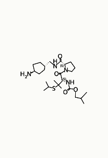 CC(C)COC(=O)N[C@@H](C(=O)N1CCC[C@H]1C(=O)NC[C@H]1CC[C@H](N)CC1)C(C)(C)SC(C)C